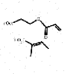 C=CC(=O)OCCCCCCCCCC.CC=C(C)C(=O)O